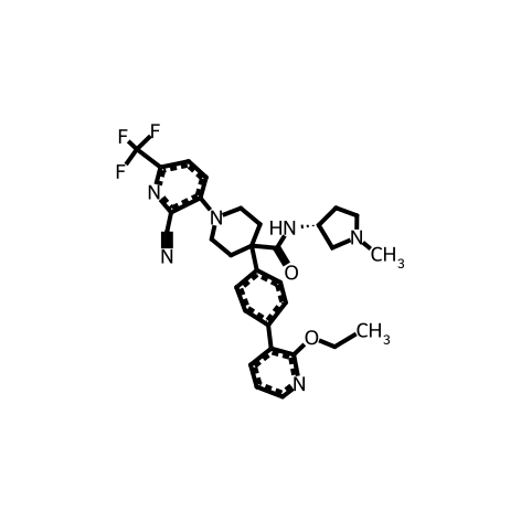 CCOc1ncccc1-c1ccc(C2(C(=O)N[C@@H]3CCN(C)C3)CCN(c3ccc(C(F)(F)F)nc3C#N)CC2)cc1